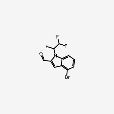 O=Cc1cc2c(Br)cccc2n1C(F)C(F)F